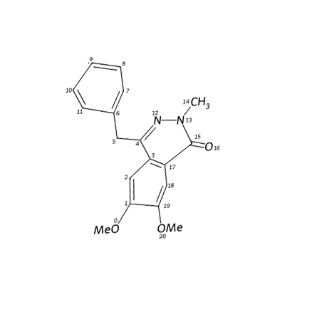 COc1cc2c(Cc3cc[c]cc3)nn(C)c(=O)c2cc1OC